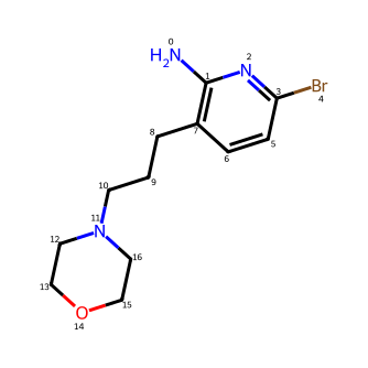 Nc1nc(Br)ccc1CCCN1CCOCC1